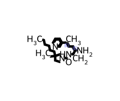 C=C(NC(=O)N1CCC(CC)(CCCCCC)C1)/C(N)=C\C=C(/C)c1cccnc1